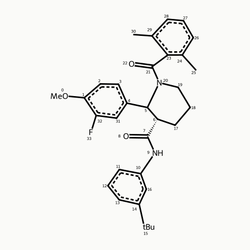 COc1ccc(C2[C@@H](C(=O)Nc3cccc(C(C)(C)C)c3)CCCN2C(=O)c2c(C)cccc2C)cc1F